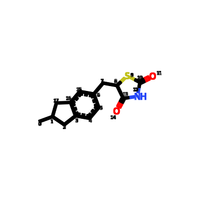 CC1Cc2ccc(CC3SC(=O)NC3=O)cc2C1